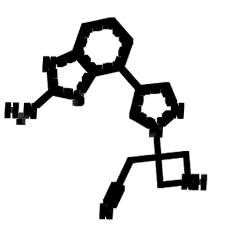 N#CCC1(n2cc(-c3cccc4nc(N)sc34)cn2)CNC1